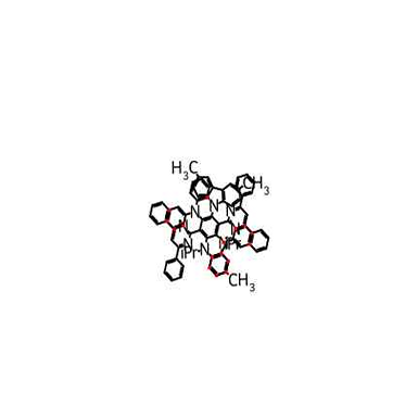 Cc1ccc(N(c2c(-c3nc(-c4ccccc4)cc(-c4ccccc4)n3)c(N(c3ccccc3)c3ccccc3)c(-n3c4ccc(C)cc4c4cc(C)ccc43)c(-c3nc(-c4ccccc4)cc(-c4ccccc4)n3)c2N(c2ccccc2)c2ccccc2)C(C)C)c(C(C)C)c1